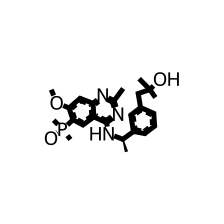 COc1cc2nc(C)nc(N[C@H](C)c3cccc(CC(C)(C)O)c3)c2cc1P(C)(C)=O